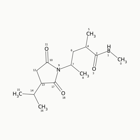 CBC(=O)C(C)CC(C)N1C(=O)CC(C(C)C)C1=O